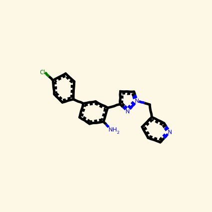 Nc1ccc(-c2ccc(Cl)cc2)cc1-c1ccn(Cc2cccnc2)n1